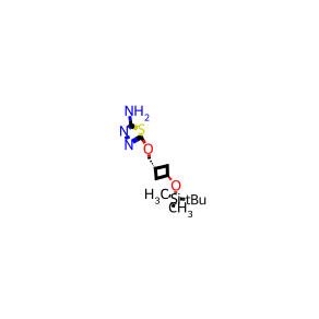 CC(C)(C)[Si](C)(C)O[C@H]1C[C@H](COc2nnc(N)s2)C1